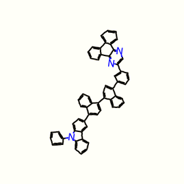 c1ccc(-n2c3ccccc3c3cc(-c4ccc(-c5ccc(-c6cccc(-c7cnc8c9ccccc9c9ccccc9c8n7)c6)c6ccccc56)c5ccccc45)ccc32)cc1